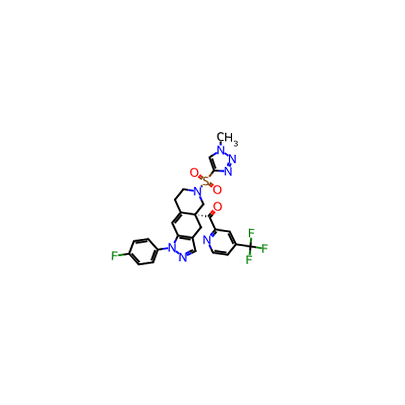 Cn1cc(S(=O)(=O)N2CCC3=Cc4c(cnn4-c4ccc(F)cc4)C[C@]3(C(=O)c3cc(C(F)(F)F)ccn3)C2)nn1